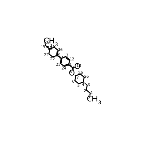 CCCC[C@H]1CC[C@H](OC(=O)c2ccc(C3=CCC(CC)CC3)cc2)CC1